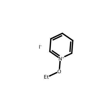 CCO[n+]1ccccc1.[I-]